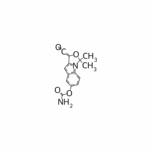 CC1(C)OC(=C=O)c2cc3cc(OC(N)=O)ccc3n21